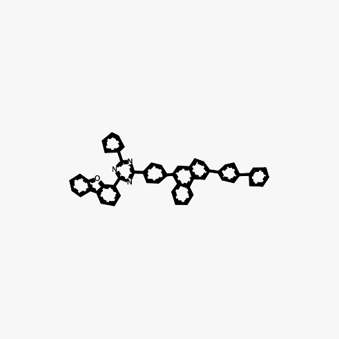 c1ccc(-c2ccc(-c3ccc4cc(-c5ccc(-c6nc(-c7ccccc7)nc(-c7cccc8c7oc7ccccc78)n6)cc5)c5ccccc5c4c3)cc2)cc1